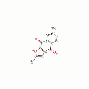 CC(=O)c1ccc2c(c1)C(=O)c1oc(C(C)=O)cc1C2=O